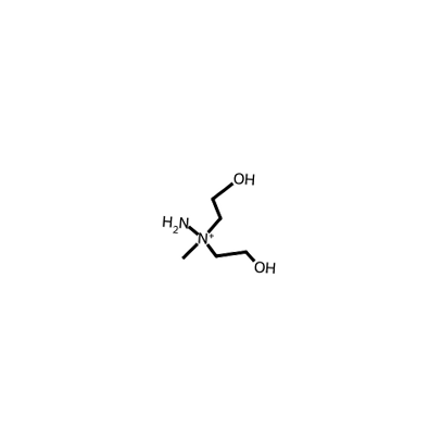 C[N+](N)(CCO)CCO